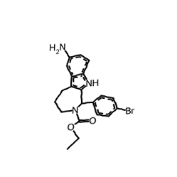 CCOC(=O)N1CCCc2c([nH]c3ccc(N)cc23)C1c1ccc(Br)cc1